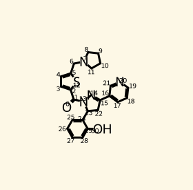 O=C(c1ccc(CN2CCCC2)s1)N1N=C(c2cccnc2)CC1c1ccccc1O